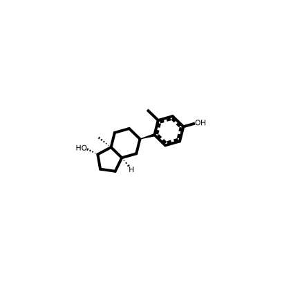 Cc1cc(O)ccc1[C@@H]1CC[C@@]2(C)[C@H](CC[C@@H]2O)C1